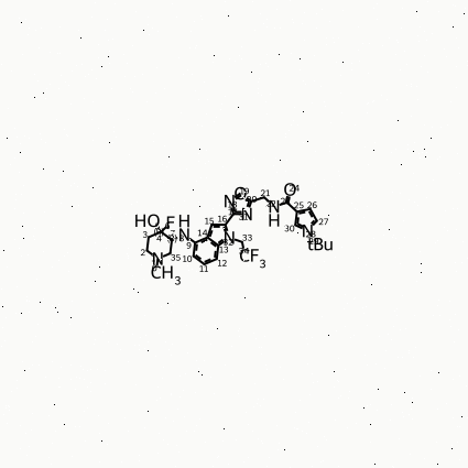 CN1CC[C@@](O)(F)[C@H](Nc2cccc3c2cc(-c2noc(CNC(=O)c4ccn(C(C)(C)C)c4)n2)n3CC(F)(F)F)C1